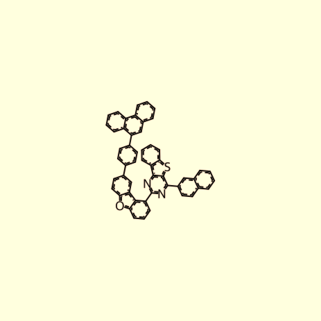 c1ccc2cc(-c3nc(-c4cccc5oc6ccc(-c7ccc(-c8cc9ccccc9c9ccccc89)cc7)cc6c45)nc4c3sc3ccccc34)ccc2c1